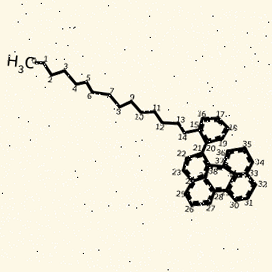 CCCCCCCCCCCCCCCc1ccccc1-c1ccc2cccc3c4cccc5cccc(c1c23)c54